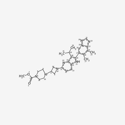 COC(=O)N1CCN(C2CN(c3ccc4[nH]c(-c5cn6ncnc6c(C)c5C)c(C(C)C)c4n3)C2)CC1